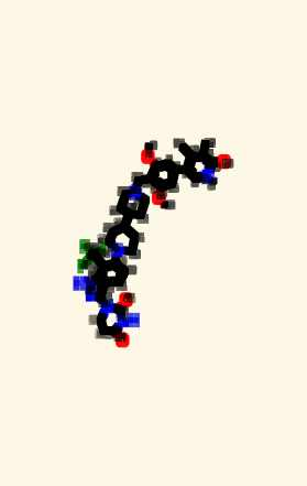 COc1cc(-c2cn(C)c(=O)c(C)c2C)cc(OC)c1CN1CCC(C2CCN(c3ccc4c(N5CCC(=O)NC5=O)n[nH]c4c3C(F)(F)F)CC2)CC1